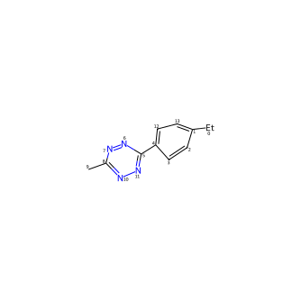 CCc1ccc(-c2nnc(C)nn2)cc1